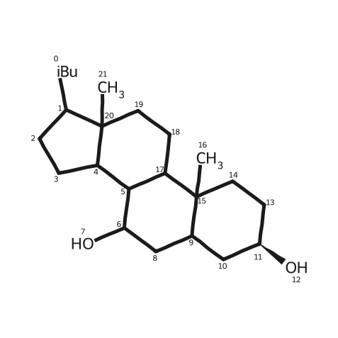 CCC(C)C1CCC2C3C(O)CC4C[C@H](O)CCC4(C)C3CCC12C